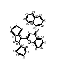 O=c1cc(C2c3ccccc3CC2c2ccccc2)oc2ccccc12.c1ccc2ccccc2c1